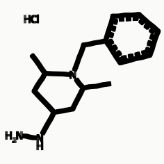 CC1CC(NN)CC(C)N1Cc1ccccc1.Cl